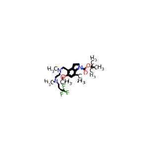 COc1cc(C)c2c(ccn2C(=O)OC(C)(C)C)c1CN(C)CCN(C)CCC(F)(F)F